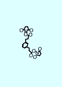 O=C(CCc1cccc(CCC(=O)ON2C(=O)CCC2=O)c1)ON1C(=O)CCC1=O